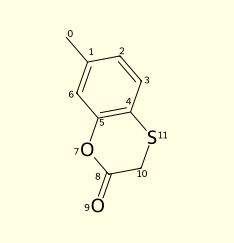 Cc1ccc2c(c1)OC(=O)CS2